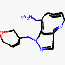 Nc1ccnc2cnn(C3CCOC3)c12